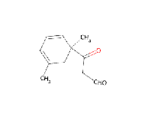 CC1=CC=CC(C)(C(=O)CC=O)C1